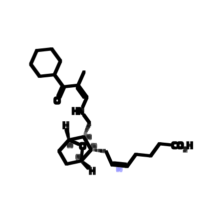 CC(=CNC[C@@H]1[C@H](C/C=C\CCCC(=O)O)[C@@H]2CC[C@H]1O2)C(=O)C1CCCCC1